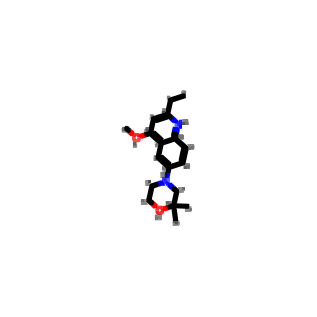 CCc1cc(OC)c2cc(N3CCOC(C)(C)C3)ccc2n1